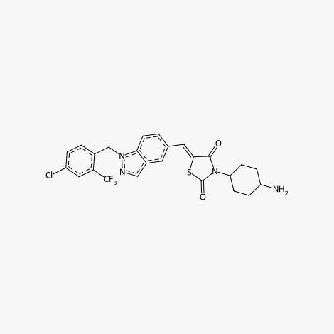 NC1CCC(N2C(=O)SC(=Cc3ccc4c(cnn4Cc4ccc(Cl)cc4C(F)(F)F)c3)C2=O)CC1